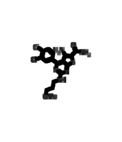 COCCCNc1nc(-c2ccc(Cl)c(Cl)c2)c2c(N)c(C(N)=O)sc2n1